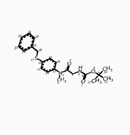 CN(C(=O)CNC(=O)OC(C)(C)C)c1ccc(SCc2ccccc2)cc1